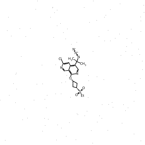 CCS(=O)(=O)[C@H]1C[C@@H](Oc2ncc(C(C)(C)N=[N+]=[N-])c3cc(Cl)ncc23)C1